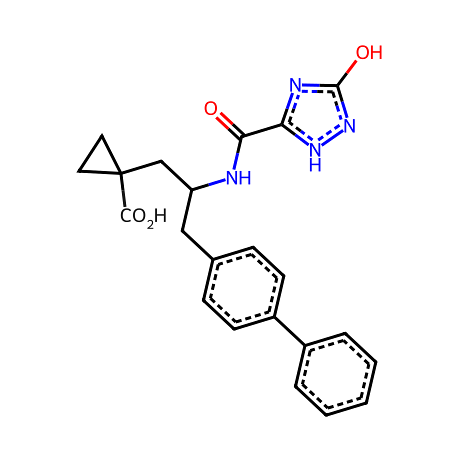 O=C(NC(Cc1ccc(-c2ccccc2)cc1)CC1(C(=O)O)CC1)c1nc(O)n[nH]1